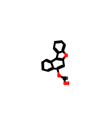 OBOc1cc2oc3ccccc3c2c2ccccc12